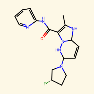 CC1=C(C(=O)Nc2ccccn2)N2NC(N3CC[C@H](F)C3)C=CC2N1